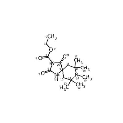 CCOC(=O)N1C(=O)NC2(CC(C)(C)N(C)C(C)(C)C2)C1=O